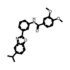 COc1ccc(C(=O)Nc2cccc(-c3nc4cc(C(C)C)ccc4o3)c2)cc1OC